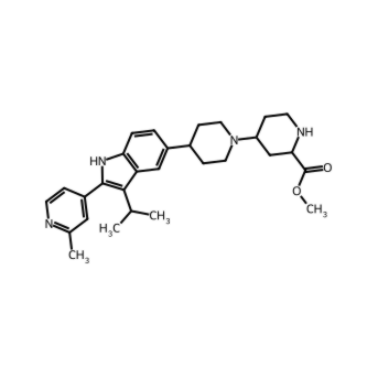 COC(=O)C1CC(N2CCC(c3ccc4[nH]c(-c5ccnc(C)c5)c(C(C)C)c4c3)CC2)CCN1